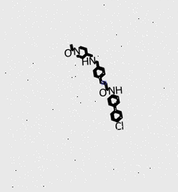 CC(=O)N1CCC(CNCc2ccc(/C=C/C(=O)Nc3ccc(-c4ccc(Cl)cc4)cc3)cc2)CC1